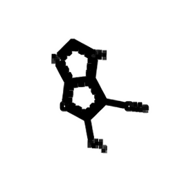 COc1c(N)oc2nc[nH]c12